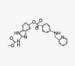 COC(=O)Nc1nc2cc(OS(=O)(=O)c3ccc(NCc4ccccn4)cc3)ccc2[nH]1